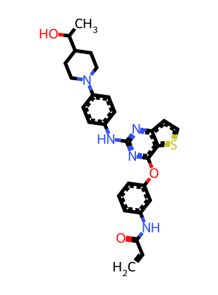 C=CC(=O)Nc1cccc(Oc2nc(Nc3ccc(N4CCC(C(C)O)CC4)cc3)nc3ccsc23)c1